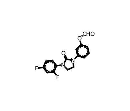 O=COc1cccc(N2CCN(c3ccc(F)cc3F)C2=O)c1